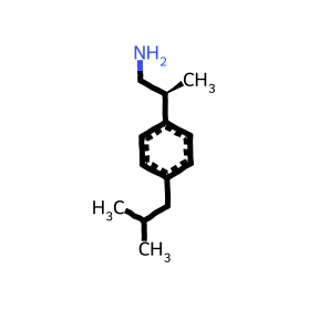 CC(C)Cc1ccc([C@H](C)CN)cc1